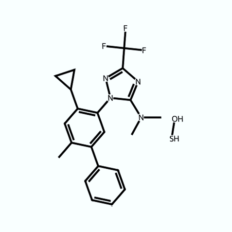 Cc1cc(C2CC2)c(-n2nc(C(F)(F)F)nc2N(C)C)cc1-c1cc[c]cc1.OS